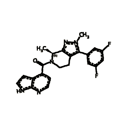 C[C@H]1c2nn(C)c(-c3cc(F)cc(F)c3)c2CCN1C(=O)c1ccnc2[nH]ccc12